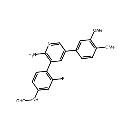 COc1ccc(-c2cnc(N)c(-c3ccc(NC=O)cc3F)c2)cc1OC